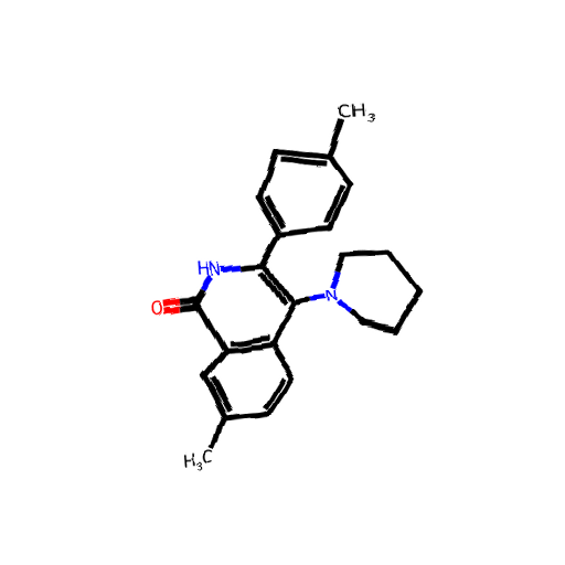 Cc1ccc(-c2[nH]c(=O)c3cc(C)ccc3c2N2CCCCC2)cc1